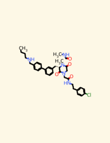 CCCCNCc1ccc(-c2cccc(C[C@H]3C(=O)N(CC(=O)NCCc4ccc(Cl)cc4)CC(=O)N3C)c2)cc1.CNC=O